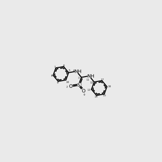 O=S(=O)=C(Nc1ccccc1)Nc1ccccc1